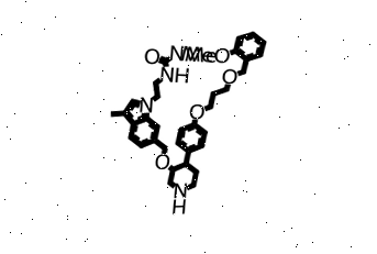 CNC(=O)NCCn1cc(C)c2ccc(COC3CNCCC3c3ccc(OCCCOCc4ccccc4OC)cc3)cc21